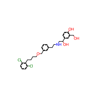 OCc1cc(C(O)CNCCc2cccc(COCCCCc3c(Cl)cccc3Cl)c2)ccc1O